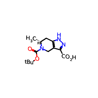 C[C@@H]1Cc2[nH]nc(C(=O)O)c2CN1C(=O)OC(C)(C)C